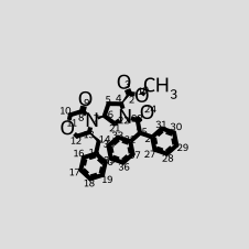 COC(=O)[C@@H]1C[C@H](N2C(=O)COC[C@@H]2Cc2ccccc2)CN1C(=O)C(c1ccccc1)c1ccccc1